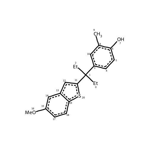 CCC(CC)(c1ccc(O)c(C)c1)c1cc2cc(OC)ccc2s1